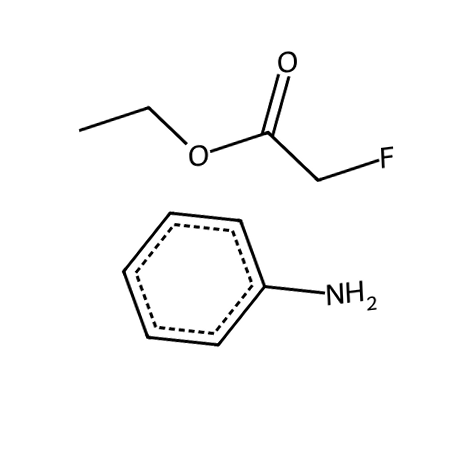 CCOC(=O)CF.Nc1ccccc1